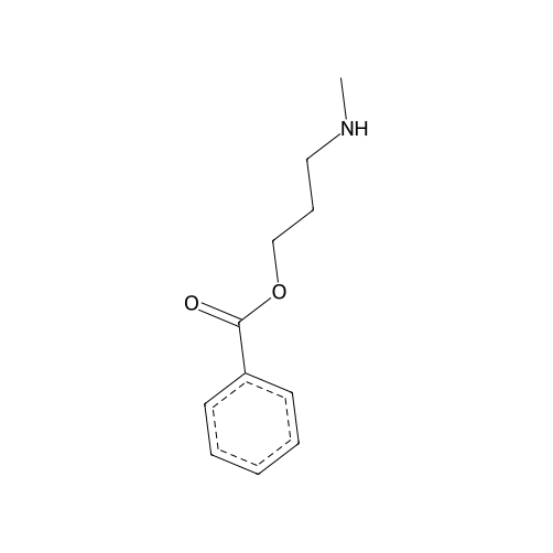 CNCCCOC(=O)c1ccccc1